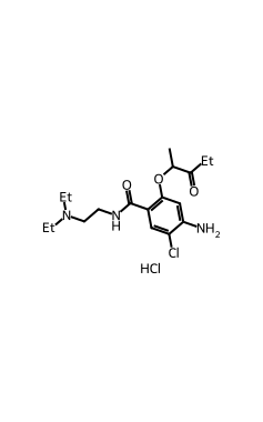 CCC(=O)C(C)Oc1cc(N)c(Cl)cc1C(=O)NCCN(CC)CC.Cl